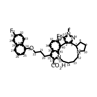 CCc1c2c(nn1C)C1CCCN1CCCCn1c(C(=O)O)c(CCCOc3cccc4cc(F)ccc34)c3ccc(Cl)c-2c31